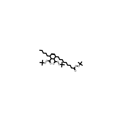 CCCCCC1C=CC(CCCCCCCCC(=O)OOC(C)(C)C)C(C(=O)OOC(C)(C)C)C1C(=O)OOC(C)(C)C